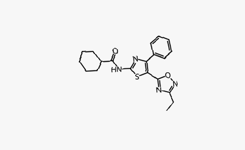 CCc1noc(-c2sc(NC(=O)C3CCCCC3)nc2-c2ccccc2)n1